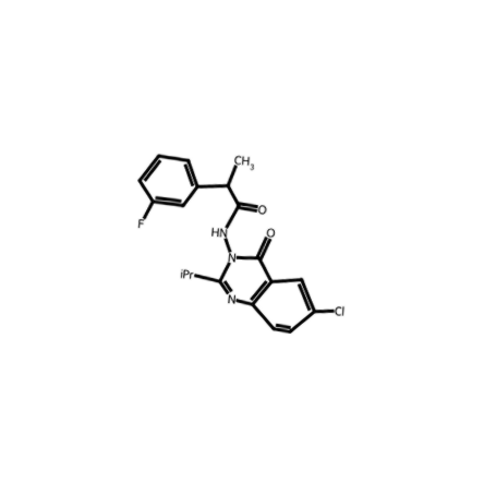 CC(C)c1nc2ccc(Cl)cc2c(=O)n1NC(=O)C(C)c1cccc(F)c1